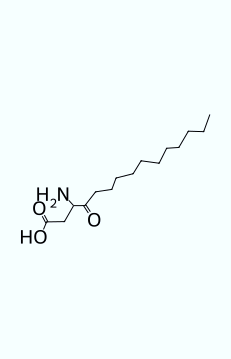 CCCCCCCCCCCC(=O)C(N)CC(=O)O